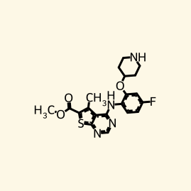 COC(=O)c1sc2ncnc(Nc3ccc(F)cc3OC3CCNCC3)c2c1C